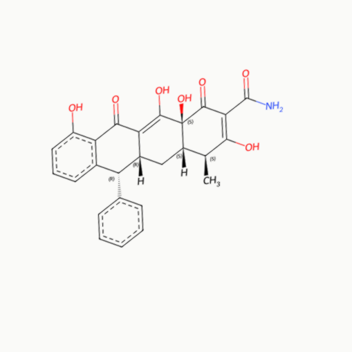 C[C@@H]1C(O)=C(C(N)=O)C(=O)[C@@]2(O)C(O)=C3C(=O)c4c(O)cccc4[C@@H](c4ccccc4)[C@H]3C[C@@H]12